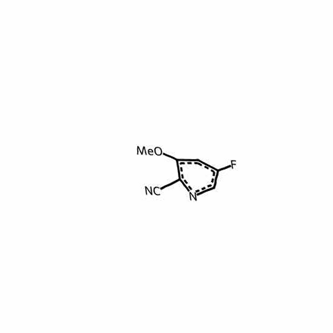 COc1cc(F)cnc1C#N